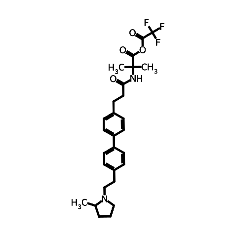 CC1CCCN1CCc1ccc(-c2ccc(CCC(=O)NC(C)(C)C(=O)OC(=O)C(F)(F)F)cc2)cc1